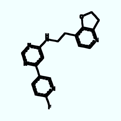 Fc1ccc(-c2cc(NCCc3ccnc4c3OCC4)ncn2)cn1